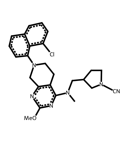 COc1nc2c(c(N(C)CC3CCN(C#N)C3)n1)CCN(c1cccc3cccc(Cl)c13)C2